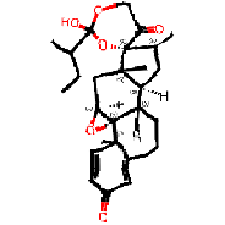 CCC(C)C1(O)OCC(=O)[C@@]2(O1)[C@@H](C)C[C@H]1[C@@H]3CCC4=CC(=O)C=C[C@]4(C)[C@@]34O[C@H]4C[C@@]12C